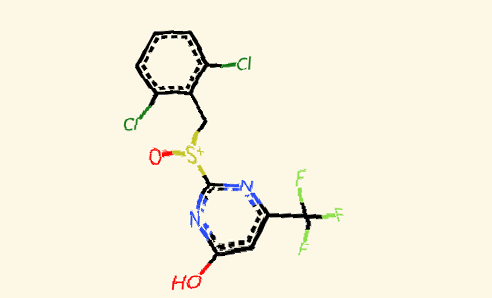 [O-][S+](Cc1c(Cl)cccc1Cl)c1nc(O)cc(C(F)(F)F)n1